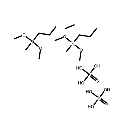 CC.CCC[Si](C)(OC)OC.CCC[Si](C)(OC)OC.OP(O)(O)=S.OP(O)(O)=S